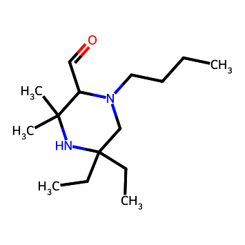 CCCCN1CC(CC)(CC)NC(C)(C)C1C=O